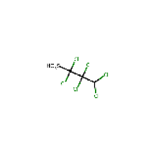 O=S(=O)(O)C(Cl)(Cl)C(Cl)(Cl)C(Cl)Cl